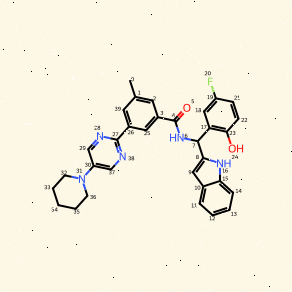 Cc1cc(C(=O)NC(c2cc3ccccc3[nH]2)c2cc(F)ccc2O)cc(-c2ncc(N3CCCCC3)cn2)c1